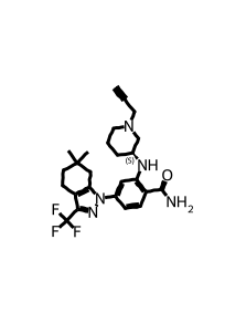 C#CCN1CCC[C@H](Nc2cc(-n3nc(C(F)(F)F)c4c3CC(C)(C)CC4)ccc2C(N)=O)C1